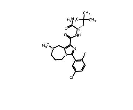 CN1CCCn2c(-c3cc(Cl)ccc3F)nc(C(=O)N[C@@H](CC(C)(C)C)C(N)=O)c2C1